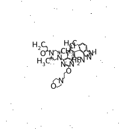 C=CC(=O)N1C[C@H](C)N(c2nc(OCCN3CCOCC3)nc3c(F)c(-c4c(C)ccc5c4c(N)nn5I)c(Cl)cc23)C[C@H]1C